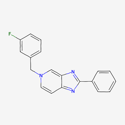 Fc1cccc(Cn2ccc3nc(-c4ccccc4)nc-3c2)c1